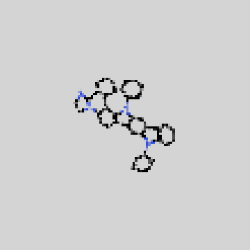 c1ccc(-n2c3ccccc3c3cc4c(cc32)c2ccc3c(c5ccccc5c5nccn35)c2n4-c2ccccc2)cc1